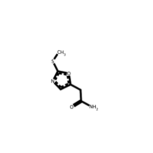 CSc1ncc(CC(N)=O)o1